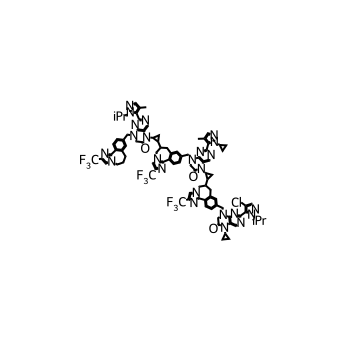 Cc1cnn(C(C)C)c1-c1ncc2c(n1)N(Cc1ccc3c(c1)CCCn1cc(C(F)(F)F)nc1-3)CC(=O)N2C1CC1C1Cc2cc(CN3CC(=O)N(C4CC4C4Cc5cc(CN6CC(=O)N(C7CC7)c7cnc(-c8c(Cl)cnn8C(C)C)nc76)ccc5-c5nc(C(F)(F)F)cn5C4)c4cnc(-c5c(C)cnn5C5CC5)nc43)ccc2-c2nc(C(F)(F)F)cn2C1